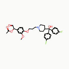 COc1cc(C(C=O)OC(C)=O)ccc1OCCCN1CCC(C(O)(c2ccc(F)cc2)c2ccc(F)cc2)CC1